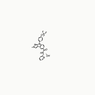 Cn1cc2c3cc(C(=O)N[C@H](CO)c4ccccn4)ccc3n(-c3ccc(OC(F)(F)F)cc3)c2n1